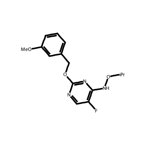 COc1cccc(COc2ncc(F)c(NOC(C)C)n2)c1